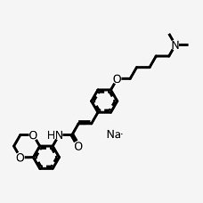 CN(C)CCCCCOc1ccc(C=CC(=O)Nc2cccc3c2OCCO3)cc1.[Na]